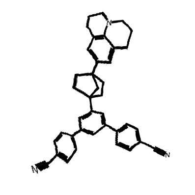 N#Cc1ccc(-c2cc(-c3ccc(C#N)cc3)cc(C34CCC(c5cc6c7c(c5)CCCN7CCC6)(CC3)C4)c2)cc1